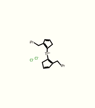 CC(C)CC1=[C]([Ti+2][C]2=C(CC(C)C)C=CC2)CC=C1.[Cl-].[Cl-]